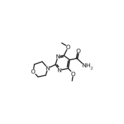 COc1nc(N2CCOCC2)nc(OC)c1C(N)=O